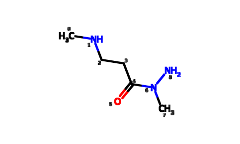 CNCCC(=O)N(C)N